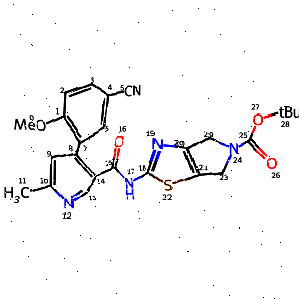 COc1ccc(C#N)cc1-c1cc(C)ncc1C(=O)Nc1nc2c(s1)CN(C(=O)OC(C)(C)C)C2